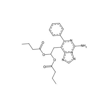 CCCC(=O)OC(Cc1c(-c2ccccc2)nc(N)n2ncnc12)OC(=O)CCC